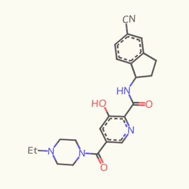 CCN1CCN(C(=O)c2cnc(C(=O)NC3CCc4cc(C#N)ccc43)c(O)c2)CC1